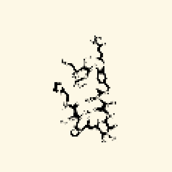 CCC(C)[C@@H]([C@@H](CC(=O)N1CCC[C@H]1[C@H](OC)[C@@H](C)C(=O)NCc1nccs1)OC)N(C)C(=O)CNC(=O)[C@H](C(C)C)N(C)C(=O)OCc1ccc(O[C@H](OCC(=O)O)[C@@H](O)[C@@H](O)CO)c(NC(=O)CCC(=O)NN)c1